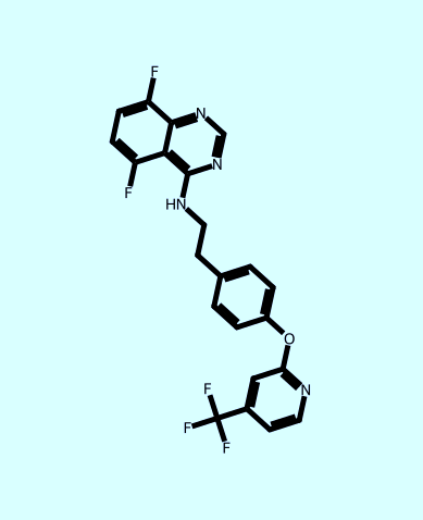 Fc1ccc(F)c2c(NCCc3ccc(Oc4cc(C(F)(F)F)ccn4)cc3)ncnc12